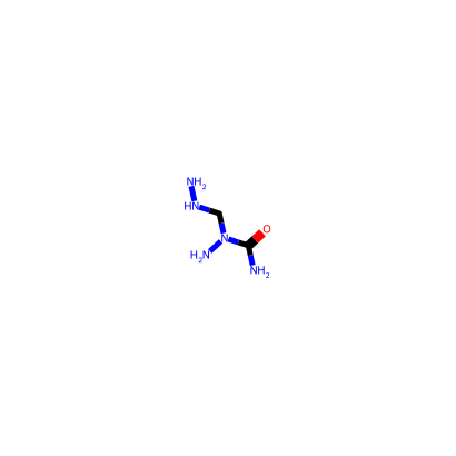 NNCN(N)C(N)=O